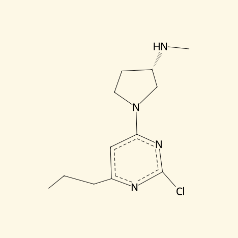 CCCc1cc(N2CC[C@H](NC)C2)nc(Cl)n1